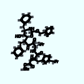 CC(C)c1nc(CN(NC(=O)OC(C)(C)C)C(=O)N[C@H](C(=O)N[C@@H](Cc2ccccc2)C[C@H](O)[C@H](Cc2ccccc2)NC(=O)OCc2cncs2)C(C)C)cs1